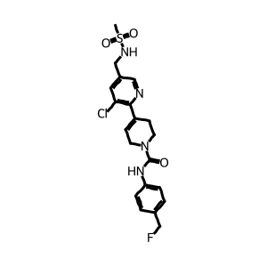 CS(=O)(=O)NCc1cnc(C2=CCN(C(=O)Nc3ccc(CF)cc3)CC2)c(Cl)c1